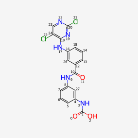 O=C(O)Nc1cccc(NC(=O)c2cccc(Nc3nc(Cl)ncc3Cl)c2)c1